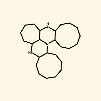 B1C2CCCCCCCC2N2C3CCCCCCCC3BC3CCCCC1C32